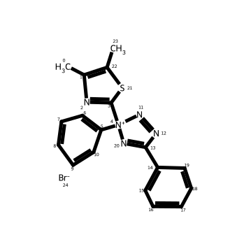 Cc1nc([N+]2(c3ccccc3)N=NC(c3ccccc3)=N2)sc1C.[Br-]